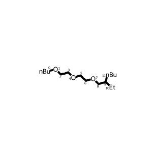 CCCCOCCOCCOCC(CC)CCCC